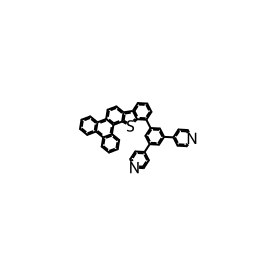 c1cc(-c2cc(-c3ccncc3)cc(-c3ccncc3)c2)c2sc3c(ccc4c5ccccc5c5ccccc5c43)c2c1